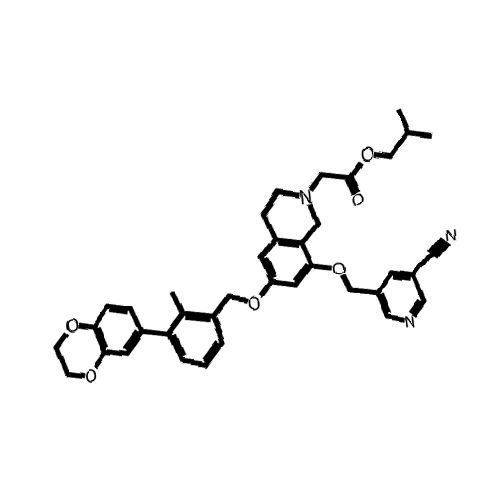 Cc1c(COc2cc3c(c(OCc4cncc(C#N)c4)c2)CN(CC(=O)OCC(C)C)CC3)cccc1-c1ccc2c(c1)OCCO2